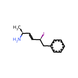 C[C@H](N)/C=C/[C@@H](I)Cc1ccccc1